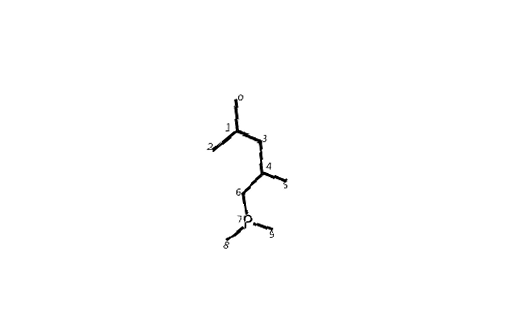 CC(C)CC(C)CP(C)C